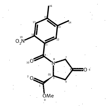 COC(=O)[C@@H]1CC(=O)CN1C(=O)c1cc(C)c(C)cc1[N+](=O)[O-]